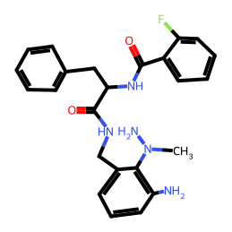 CN(N)c1c(N)cccc1CNC(=O)C(Cc1ccccc1)NC(=O)c1ccccc1F